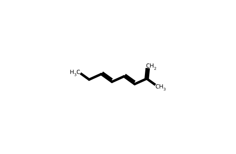 C=C(C)/C=C/C=C/CC